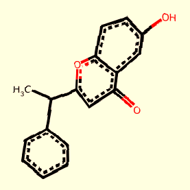 CC(c1ccccc1)c1cc(=O)c2cc(O)ccc2o1